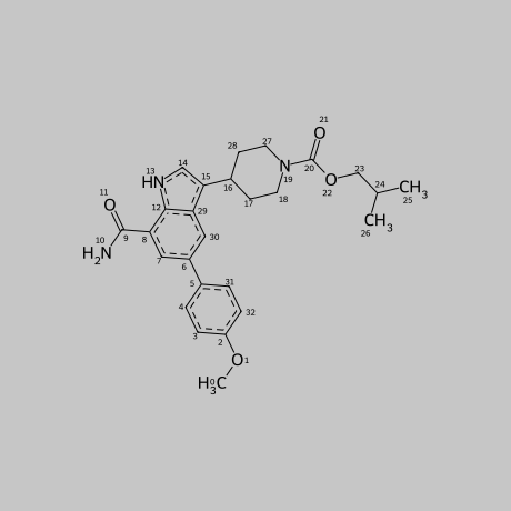 COc1ccc(-c2cc(C(N)=O)c3[nH]cc(C4CCN(C(=O)OCC(C)C)CC4)c3c2)cc1